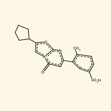 Cc1ccc(S(=O)(=O)O)cc1-c1cc(=O)n2cc(N3CCCC3)sc2n1